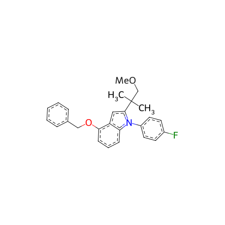 COCC(C)(C)c1cc2c(OCc3ccccc3)cccc2n1-c1ccc(F)cc1